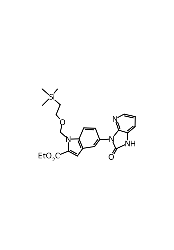 CCOC(=O)c1cc2cc(-n3c(=O)[nH]c4cccnc43)ccc2n1COCC[Si](C)(C)C